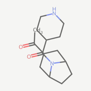 CC(=O)C1CC2CCC(C1)N2C(=O)C1CCNCC1